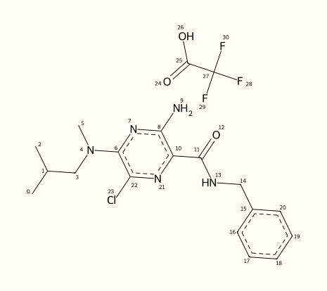 CC(C)CN(C)c1nc(N)c(C(=O)NCc2ccccc2)nc1Cl.O=C(O)C(F)(F)F